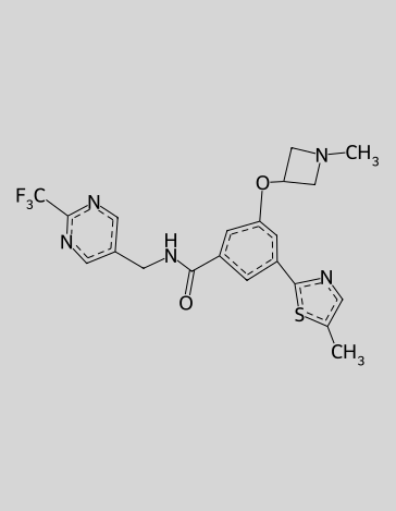 Cc1cnc(-c2cc(OC3CN(C)C3)cc(C(=O)NCc3cnc(C(F)(F)F)nc3)c2)s1